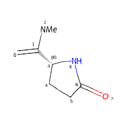 C=C(NC)[C@H]1CCC(=O)N1